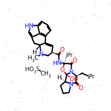 CC(C)C[C@H]1C(=O)N2CCC[C@H]2[C@]2(O)O[C@](NC(=O)[C@@H]3C=C4c5cccc6[nH]cc(c56)C[C@H]4N(C)C3)(C(C)C)C(=O)N12.CS(=O)(=O)O